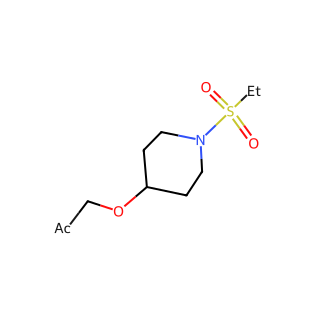 CCS(=O)(=O)N1CCC(OCC(C)=O)CC1